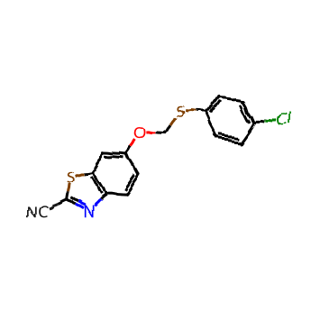 N#Cc1nc2ccc(OCSc3ccc(Cl)cc3)cc2s1